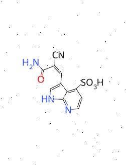 N#CC(=Cc1c[nH]c2nccc(S(=O)(=O)O)c12)C(N)=O